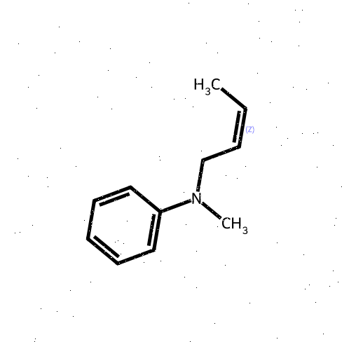 C/C=C\CN(C)c1ccccc1